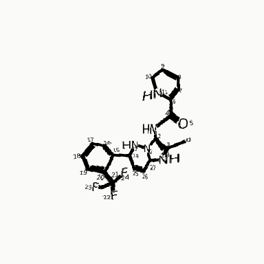 CC1=C(NC(=O)C2=CC=CCN2)N2NC(c3ccccc3C(F)(F)F)C=CC2N1